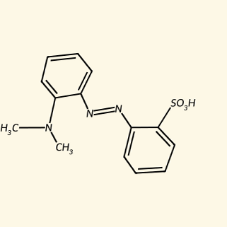 CN(C)c1ccccc1N=Nc1ccccc1S(=O)(=O)O